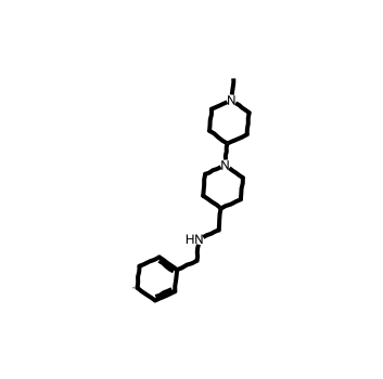 CN1CCC(N2CCC(CNCC3=CC[CH]C=C3)CC2)CC1